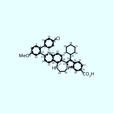 COc1ccc(-c2ccc(Cl)cc2)c(-c2ccc3c4c(ccc3n2)-c2c(C3CCCCC3)c3ccc(C(=O)O)cc3n2CCN4)c1